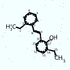 CCc1ccccc1/C=C/c1cccc(CC)c1O